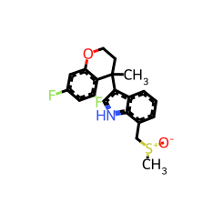 C[S+]([O-])Cc1cccc2c(C3(C)CCOc4cc(F)cc(F)c43)c[nH]c12